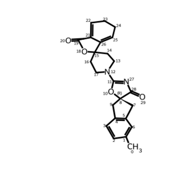 Cc1ccc2c(c1)C[C@@]1(C2)OC(N2CCC3(CC2)OC(=O)C2=CCCC=C23)=NC1=O